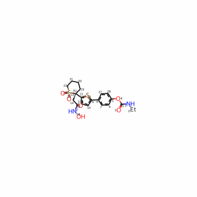 CCNC(=O)Oc1ccc(-c2ccc([C@@]3(CC(=O)NO)CCCCS3(=O)=O)s2)cc1